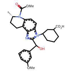 COC(=O)N1c2ccc3c(nc(C(O)c4cccc(OC)c4)n3C3CCCC(C(=O)O)C3)c2CC[C@@H]1C